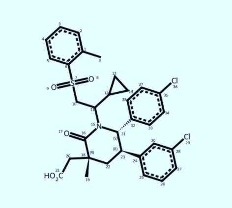 Cc1ccccc1S(=O)(=O)CC(C1CC1)N1C(=O)[C@@](C)(CC(=O)O)C[C@H](c2cccc(Cl)c2)[C@H]1c1ccc(Cl)cc1